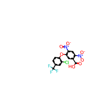 O=C(O)c1cc(Oc2ccc(C(F)(F)F)cc2Cl)c([N+](=O)[O-])cc1[N+](=O)[O-]